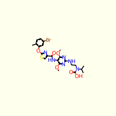 COc1nc(NCCN(C(=O)O)C(C)C)nc(OC)c1NC(=O)c1csc(Oc2cc(Br)ccc2C)n1